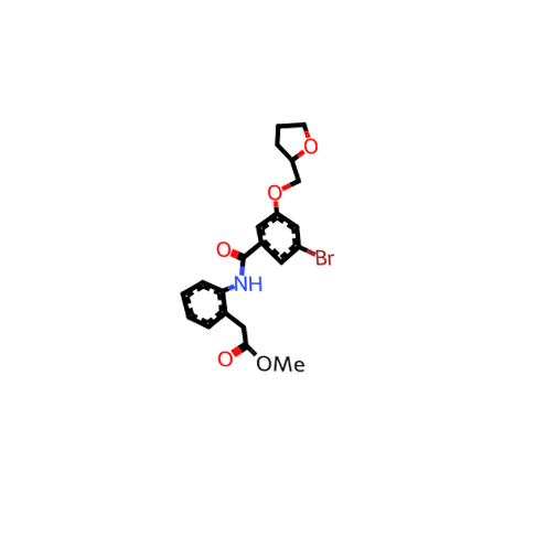 COC(=O)Cc1ccccc1NC(=O)c1cc(Br)cc(OCC2CCCO2)c1